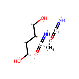 C.N=C=O.N=C=O.OCCCCO